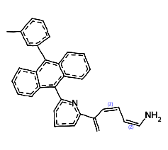 C=C(/C=C\C=C/N)c1cccc(-c2c3ccccc3c(-c3cccc(C)c3)c3ccccc23)n1